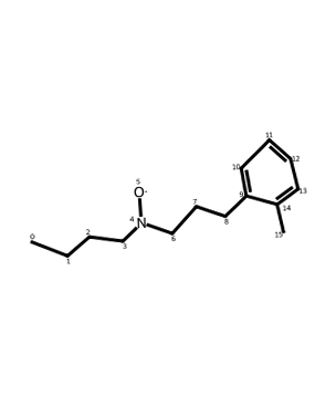 CCCCN([O])CCCc1ccccc1C